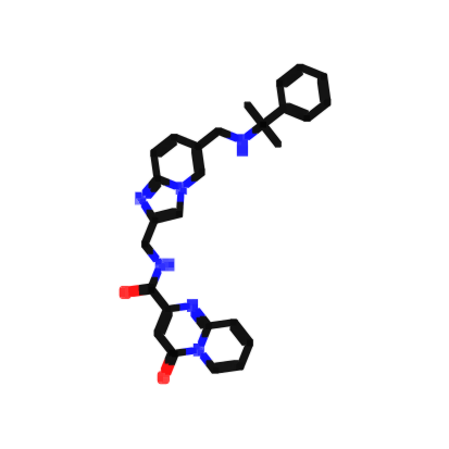 CC(C)(NCc1ccc2nc(CNC(=O)c3cc(=O)n4ccccc4n3)cn2c1)c1ccccc1